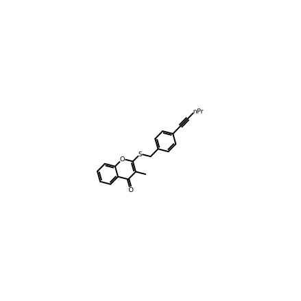 CCCC#Cc1ccc(CSc2oc3ccccc3c(=O)c2C)cc1